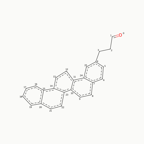 O=CCCc1ccc2ccc3c(ccc4c5ccccc5ccc43)c2c1